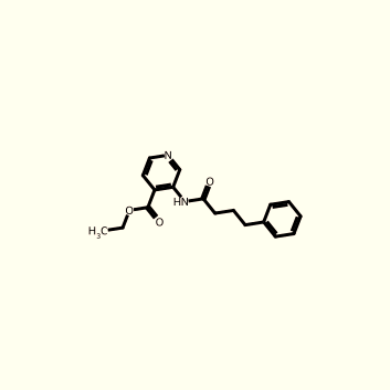 CCOC(=O)c1ccncc1NC(=O)CCCc1ccccc1